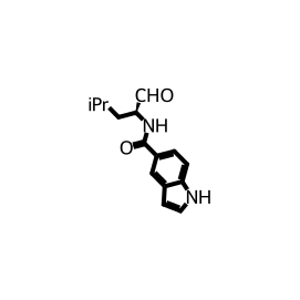 CC(C)C[C@@H](C=O)NC(=O)c1ccc2[nH]ccc2c1